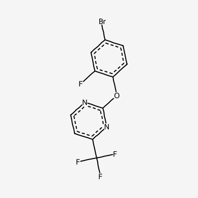 Fc1cc(Br)ccc1Oc1nccc(C(F)(F)F)n1